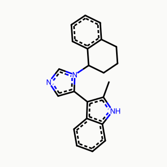 Cc1[nH]c2ccccc2c1-c1cncn1C1CCCc2ccccc21